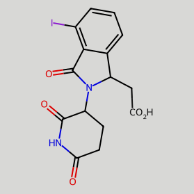 O=C(O)CC1c2cccc(I)c2C(=O)N1C1CCC(=O)NC1=O